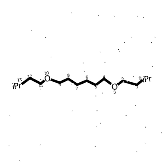 CC(C)CCOCCCCCCOCCC(C)C